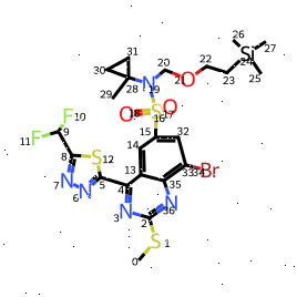 CSc1nc(-c2nnc(C(F)F)s2)c2cc(S(=O)(=O)N(COCC[Si](C)(C)C)C3(C)CC3)cc(Br)c2n1